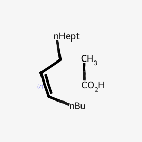 CC(=O)O.CCCC/C=C\CCCCCCCC